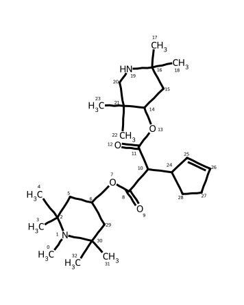 CN1C(C)(C)CC(OC(=O)C(C(=O)OC2CC(C)(C)NCC2(C)C)C2C=CCC2)CC1(C)C